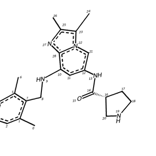 Cc1cccc(C)c1CNc1cc(NC(=O)[C@@H]2CCNC2)cn2c(C)c(C)nc12